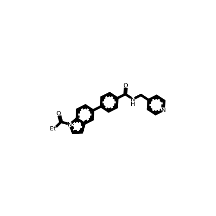 CCC(=O)n1ccc2cc(-c3ccc(C(=O)NCc4ccncc4)cc3)ccc21